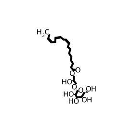 CC/C=C\C/C=C\C/C=C\CCCCCCCC(=O)OC[C@@H](O)CO[C@@H]1O[C@H](CO)[C@H](O)[C@H](O)[C@H]1O